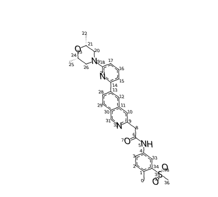 Cc1ccc(NC(=O)Cc2cc3cc(-c4cccc(N5C[C@@H](C)O[C@@H](C)C5)n4)ccc3cn2)cc1S(C)(=O)=O